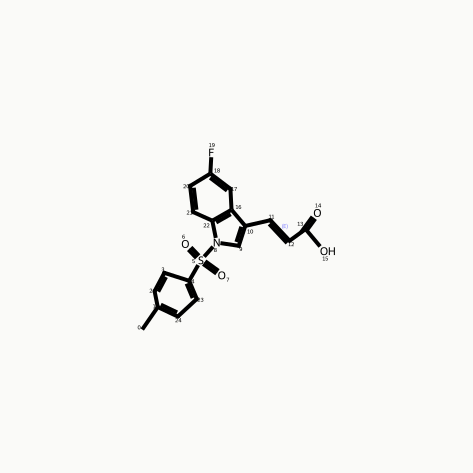 Cc1ccc(S(=O)(=O)n2cc(/C=C/C(=O)O)c3cc(F)ccc32)cc1